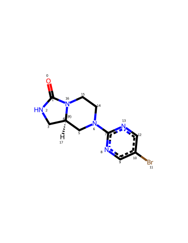 O=C1NC[C@@H]2CN(c3ncc(Br)cn3)CCN12